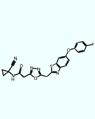 N#CC1(NC(=O)Cc2nnc(Cc3nc4ccc(Oc5ccc(F)cc5)cc4s3)o2)CC1